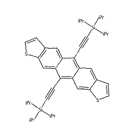 CC(C)[Si](C#Cc1c2cc3ccsc3cc2c(C#C[Si](C(C)C)(C(C)C)C(C)C)c2cc3sccc3cc12)(C(C)C)C(C)C